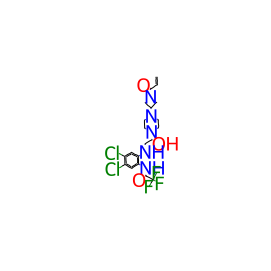 C=CC(=O)N1CC(N2CCN(C(O)CNc3cc(Cl)c(Cl)cc3NC(=O)C(F)(F)F)CC2)C1